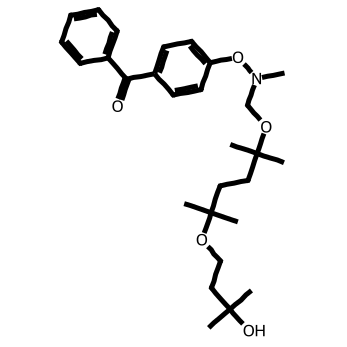 CN(COC(C)(C)CCC(C)(C)OCCC(C)(C)O)Oc1ccc(C(=O)c2ccccc2)cc1